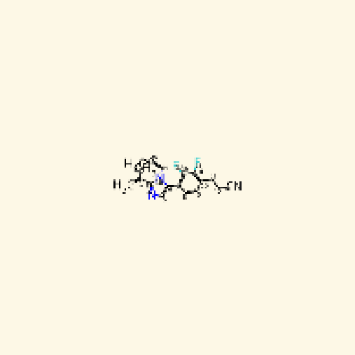 C=C(C)c1ncc(-c2ccc(CCC#N)c(F)c2F)n1/C=C\C